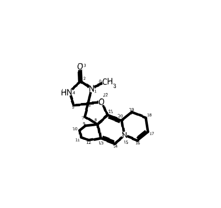 CN1C(=O)NCC12CC13CCCCC1=CN1C=CCCC1=C3O2